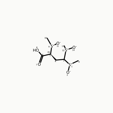 C[S+]([O-])C(C[C@@H](C(=O)O)[S+](C)[O-])[S+](C)[O-]